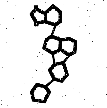 c1ccc(-c2ccc3c(c2)-c2ccc(-c4cccc5ncoc45)c4cccc-3c24)cc1